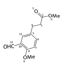 COC(=O)CCc1ccc(OC)c(C=O)c1